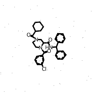 O=C(NC(c1ccccc1)c1ccccc1)C1CN(C(=O)C2CCCCC2)CCN1C(=O)c1cccc(Cl)c1